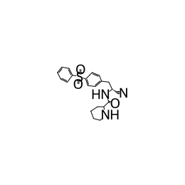 N#C[C@H](Cc1ccc(S(=O)(=O)c2ccccc2)cc1)NC(=O)C1CCCCN1